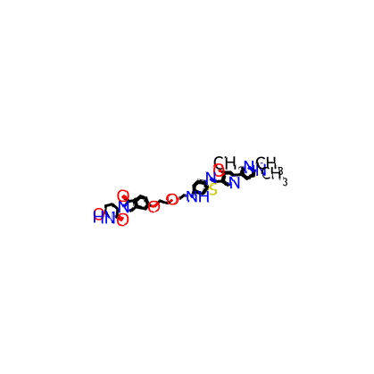 COc1cc(-c2ccc(N(C)C)nc2)ncc1-c1nc2ccc(NCCOCCOc3ccc4c(c3)CN(C3CCC(=O)NC3=O)C4=O)cc2s1